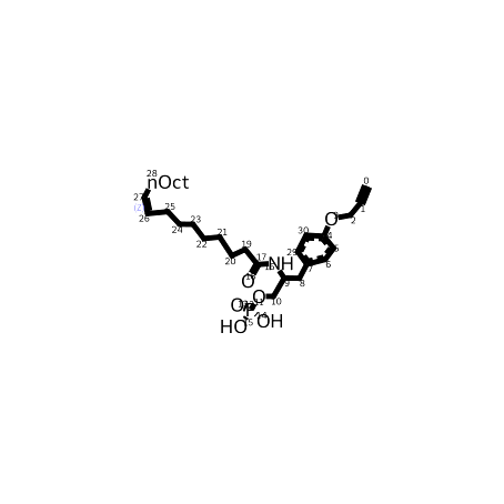 C#CCOc1ccc(CC(COP(=O)(O)O)NC(=O)CCCCCCC/C=C\CCCCCCCC)cc1